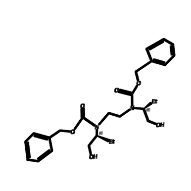 CC[C@@H](CO)N(CCN(C(=O)OCc1ccccc1)[C@@H](CC)CO)C(=O)OCc1ccccc1